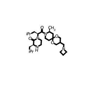 CC(C)C[C@@H]1NCCN([C@@H](CC(C)C)C(=O)N2CCC3(C[C@@H]2C)OCC(CN2CCC2)CO3)C1=O